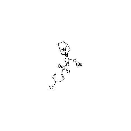 CC(C)(C)OC(=O)N1CC2CCC(C1)N2CCCS(=O)(=O)c1ccc(C#N)cc1